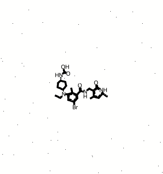 CCN(c1cc(Br)cc(C(=O)NCc2c(C)cc(C)[nH]c2=O)c1C)[C@H]1CC[C@H](NC(=O)O)CC1